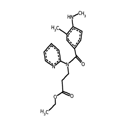 CCOC(=O)CCN(C(=O)c1ccc(NC)c(C)c1)c1ccccn1